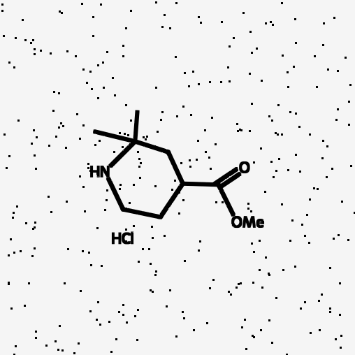 COC(=O)C1CCNC(C)(C)C1.Cl